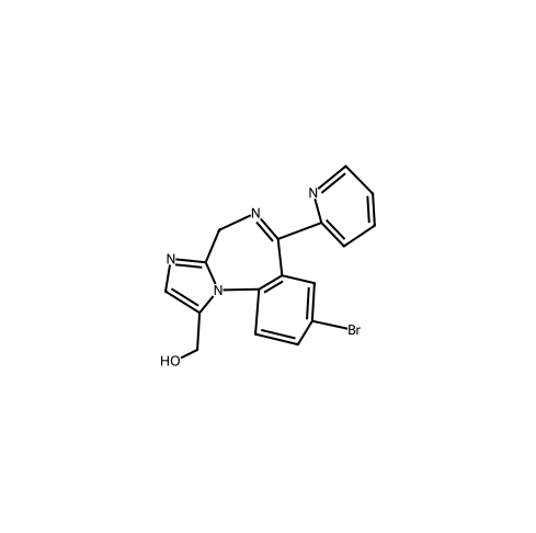 OCc1cnc2n1-c1ccc(Br)cc1C(c1ccccn1)=NC2